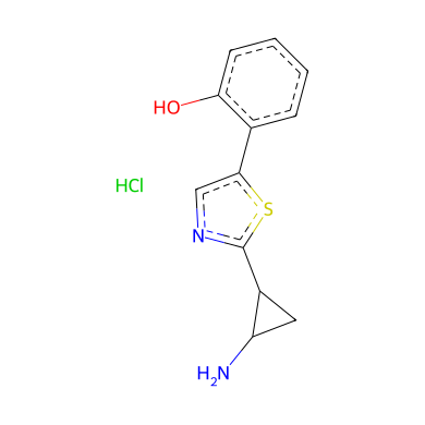 Cl.NC1CC1c1ncc(-c2ccccc2O)s1